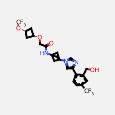 O=C(CO[C@H]1C[C@@H](OC(F)(F)F)C1)NC12CC(n3cnc(-c4ccc(C(F)(F)F)cc4CO)c3)(C1)C2